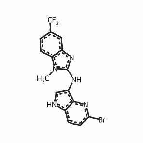 Cn1c(Nc2c[nH]c3ccc(Br)nc23)nc2cc(C(F)(F)F)ccc21